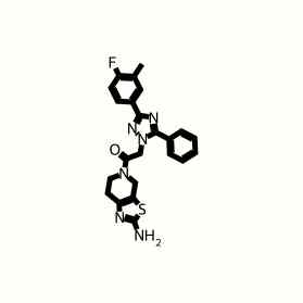 Cc1cc(-c2nc(-c3ccccc3)n(CC(=O)N3CCc4nc(N)sc4C3)n2)ccc1F